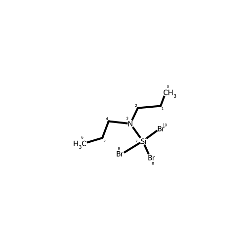 CCCN(CCC)[Si](Br)(Br)Br